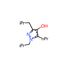 CCCc1c(O)c(CC(C)C)nn1CC(C)C